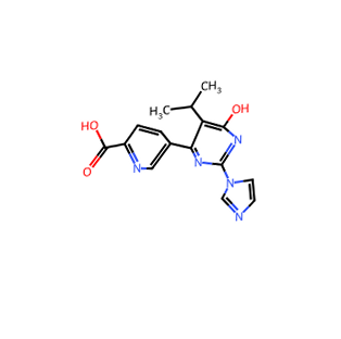 CC(C)c1c(O)nc(-n2ccnc2)nc1-c1ccc(C(=O)O)nc1